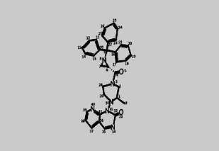 CC1CN(C(=O)[C@@H]2C[N@@]2C(c2ccccc2)(c2ccccc2)c2ccccc2)CCN1n1c(=O)ncc2cccnc21